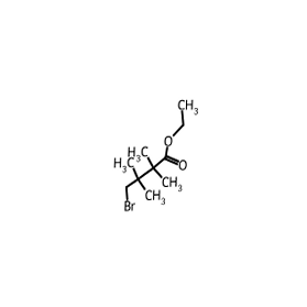 CCOC(=O)C(C)(C)C(C)(C)CBr